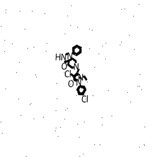 CCn1c(CN2CCC3(CC2)C(=O)NCN3c2ccccc2)c(Cl)c(=O)n1-c1ccc(Cl)cc1